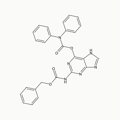 O=C(Nc1nc(OC(=O)N(c2ccccc2)c2ccccc2)c2[nH][c]nc2n1)OCc1ccccc1